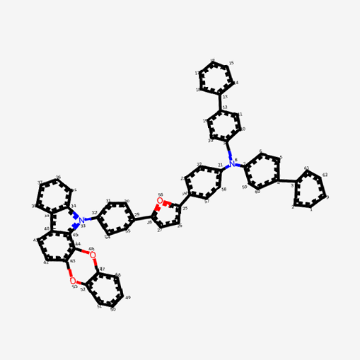 c1ccc(-c2ccc(N(c3ccc(-c4ccccc4)cc3)c3ccc(-c4ccc(-c5ccc(-n6c7ccccc7c7ccc8c(c76)Oc6ccccc6O8)cc5)o4)cc3)cc2)cc1